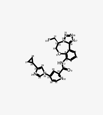 O=C(Nc1cccc2c1OC[C@@H](CF)n1nnnc1-2)c1cc(-n2cnc(C3CC3)c2)ccn1